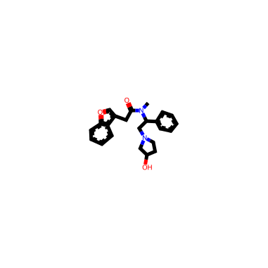 CN(C(=O)Cc1coc2ccccc12)C(CN1CCC(O)C1)c1ccccc1